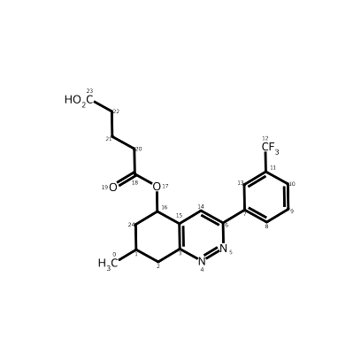 CC1Cc2nnc(-c3cccc(C(F)(F)F)c3)cc2C(OC(=O)CCCC(=O)O)C1